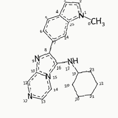 Cn1ccc2ccc(-c3nc4cnccn4c3NC3CCCCC3)cc21